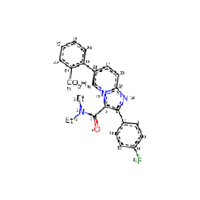 CCN(CC)C(=O)c1c(-c2ccc(F)cc2)nc2ccc(-c3ccccc3C(=O)O)cn12